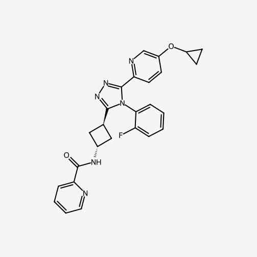 O=C(N[C@H]1C[C@H](c2nnc(-c3ccc(OC4CC4)cn3)n2-c2ccccc2F)C1)c1ccccn1